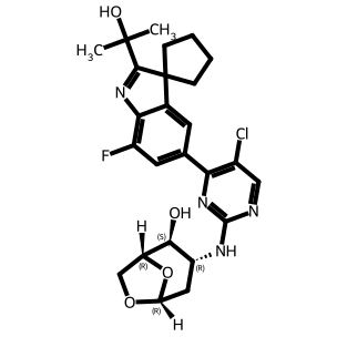 CC(C)(O)C1=Nc2c(F)cc(-c3nc(N[C@@H]4C[C@@H]5OC[C@@H](O5)[C@H]4O)ncc3Cl)cc2C12CCCC2